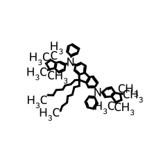 CCCCCCCCC1(CCCCCCCC)c2cc(N(c3ccccc3)c3ccc4c(c3)C(C)(C)CC4(C)C)ccc2-c2ccc(N(c3ccccc3)c3ccc4c(c3)C(C)(C)CC4(C)C)cc21